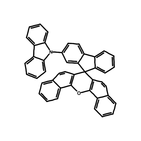 c1ccc2c(c1)-c1ccc(-n3c4ccccc4c4ccccc43)cc1C21c2ccc3ccccc3c2Oc2c1ccc1ccccc21